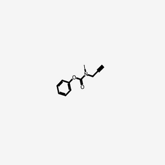 C#CCN(I)C(=O)Oc1ccccc1